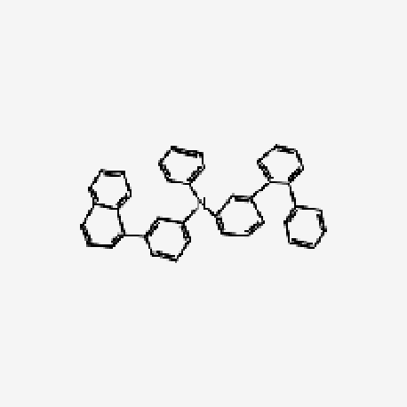 c1ccc(-c2ccccc2-c2cccc(N(c3ccccc3)c3cccc(-c4cccc5ccccc45)c3)c2)cc1